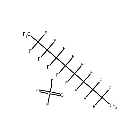 FC(F)(F)C(F)(F)C(F)(F)C(F)(F)C(F)(F)C(F)(F)C(F)(F)C(F)(F)C(F)(F)C(F)(F)F.O=S(=O)(F)F